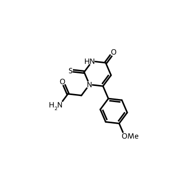 COc1ccc(-c2cc(=O)[nH]c(=S)n2CC(N)=O)cc1